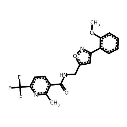 COc1ccccc1-c1cc(CNC(=O)c2ccc(C(F)(F)F)nc2C)on1